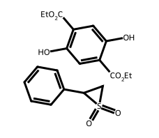 CCOC(=O)c1cc(O)c(C(=O)OCC)cc1O.O=S1(=O)CC1c1ccccc1